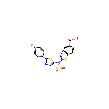 O=C(O)c1ccc2sc(N(c3cnc(-c4ccc(F)cc4)s3)[SH](=O)=O)nc2c1